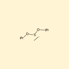 CC(C)[O][Ti][O]C(C)C.[CH2]C